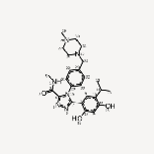 CNC(=O)c1nnc(-c2cc(C(C)C)c(O)cc2O)n1-c1ccc(CN2CCN(C)CC2)cc1